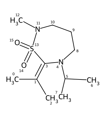 CC(C)=C1N(C(C)C)CCCN(C)S1(=O)=O